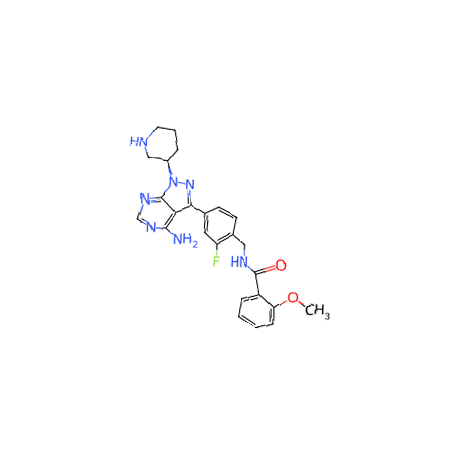 COc1ccccc1C(=O)NCc1ccc(-c2nn([C@@H]3CCCNC3)c3ncnc(N)c23)cc1F